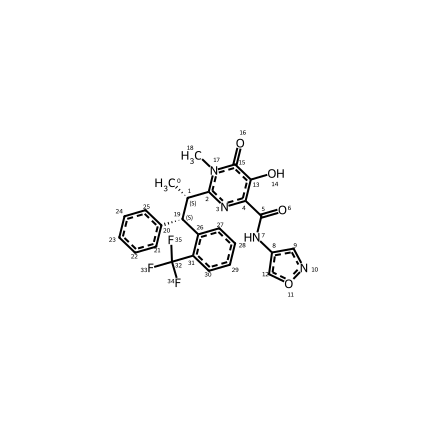 C[C@H](c1nc(C(=O)Nc2cnoc2)c(O)c(=O)n1C)[C@@H](c1ccccc1)c1ccccc1C(F)(F)F